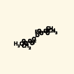 C=C(C)C(=O)OCCOC(=O)c1ccc(-c2ccc(C(=O)OCCOC(=O)C(=C)C)c(F)c2)cc1F